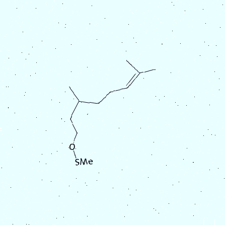 CSOCCC(C)CCC=C(C)C